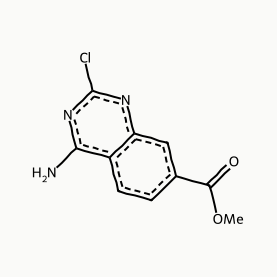 COC(=O)c1ccc2c(N)nc(Cl)nc2c1